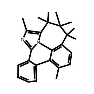 Cc1nc2c3ccccc3c3c(C)ccc4c3n2c1C(C)(C)C(C)(C)C4(C)C